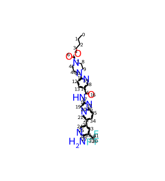 CCCCOC(=O)N1CCN(c2ccc(C(=O)Nc3cn4cc(-c5cnc(N)c(C(F)(F)F)c5)ccc4n3)cn2)CC1